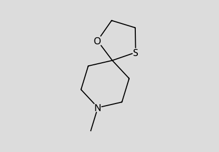 CN1CCC2(CC1)OCCS2